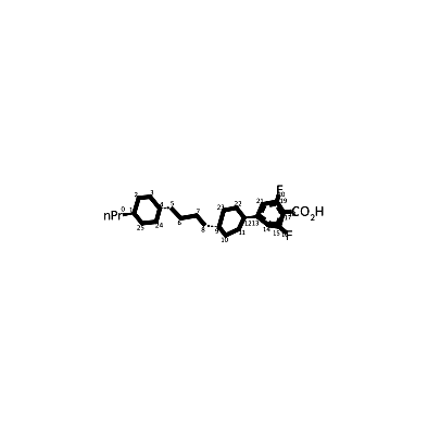 CCC[C@H]1CC[C@H](CCCC[C@H]2CC[C@H](c3cc(F)c(C(=O)O)c(F)c3)CC2)CC1